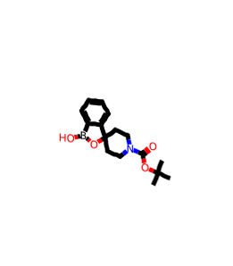 CC(C)(C)OC(=O)N1CCC2(CC1)OB(O)c1ccccc12